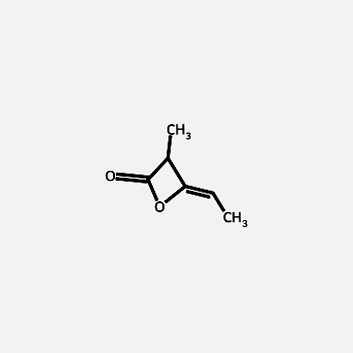 CC=C1OC(=O)C1C